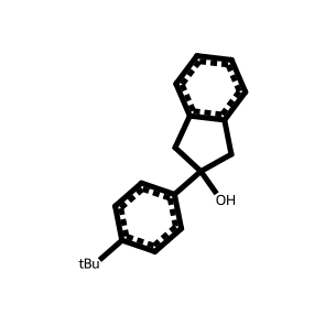 CC(C)(C)c1ccc(C2(O)Cc3ccccc3C2)cc1